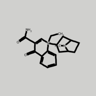 CC[N+]1(C2CC3CCC(C2)N3C)C=C(C(N)=O)C(=O)c2ccccc21